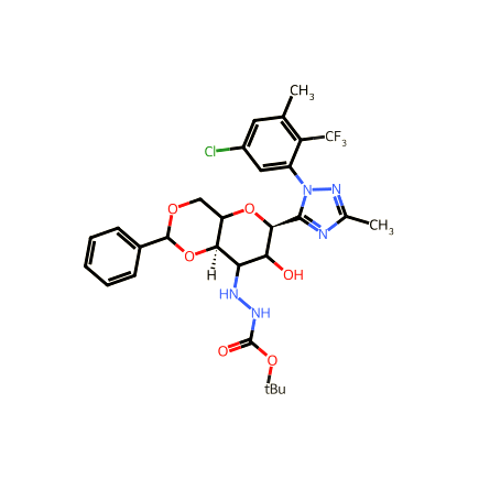 Cc1nc([C@@H]2OC3COC(c4ccccc4)O[C@@H]3C(NNC(=O)OC(C)(C)C)C2O)n(-c2cc(Cl)cc(C)c2C(F)(F)F)n1